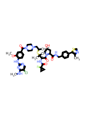 CNc1nc(Nc2ccc(C(=O)N3CCN(CC(C)SC(C)(C)[C@H](NC(=O)C4(F)CC4)C(=O)N4C[C@H](O)CC4C(=O)NCc4ccc(-c5scnc5C)cc4)CC3)cc2OC)ncc1Cl